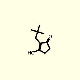 CC(C)(C)CC1=C(O)CCC1=O